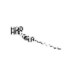 CCCCCCCCCCCCCCOOOOOCC(C)OP(=O)(O)O